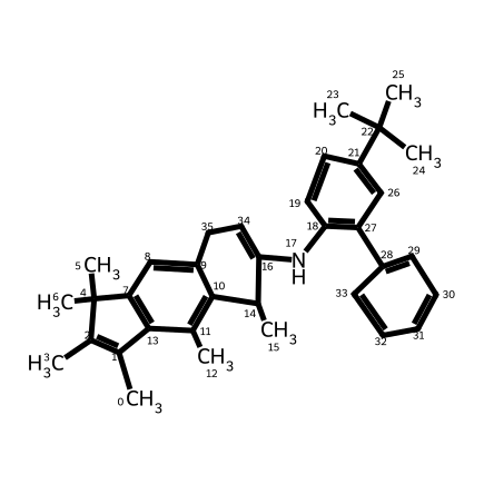 CC1=C(C)C(C)(C)c2cc3c(c(C)c21)C(C)C(Nc1ccc(C(C)(C)C)cc1-c1ccccc1)=CC3